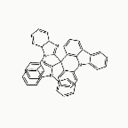 C1=CC2N=C(C3(c4nc5ccccc5n4-c4ccccc4)c4ccccc4-n4c5ccccc5c5cccc3c54)N(c3ccccc3)C2C=C1